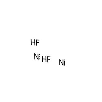 F.F.[N].[Ni]